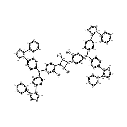 Oc1cc(N(c2ccc(-c3nccn3-c3ccccc3)cc2)c2ccc(-c3nccn3-c3ccccc3)cc2)ccc1C1C(O)C(c2ccc(N(c3ccc(-c4nccn4-c4ccccc4)cc3)c3ccc(-c4nccn4-c4ccccc4)cc3)cc2O)C1O